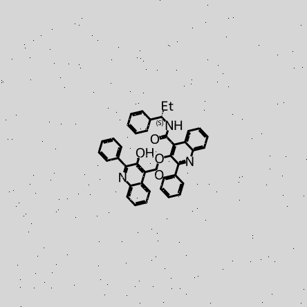 CC[C@H](NC(=O)c1c(OC(=O)c2c(O)c(-c3ccccc3)nc3ccccc23)c(-c2ccccc2)nc2ccccc12)C1C=CC=CC1